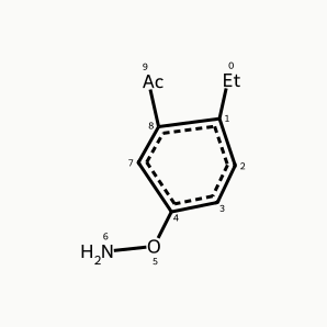 CCc1ccc(ON)cc1C(C)=O